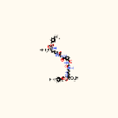 O=C(CNC(=O)c1cccc(C(=O)NCC(=O)NCCCC[C@H](NC(=O)OCc2ccc(C(F)(F)F)cc2)C(=O)O)c1)NCCCC[C@H](NC(=O)OCc1ccc(C(F)(F)F)cc1)C(=O)O